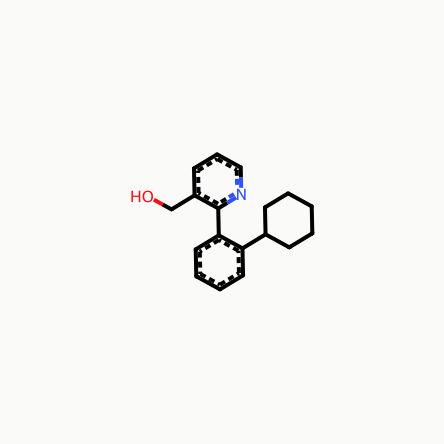 OCc1cccnc1-c1ccccc1C1CCCCC1